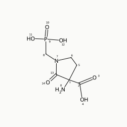 NC1(C(=O)O)CCN(CP(=O)(O)O)C1=O